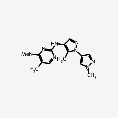 CNc1nc(Nc2cnn(-c3cnn(C)c3)c2C)ncc1C(F)(F)F